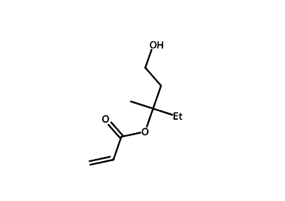 C=CC(=O)OC(C)(CC)CCO